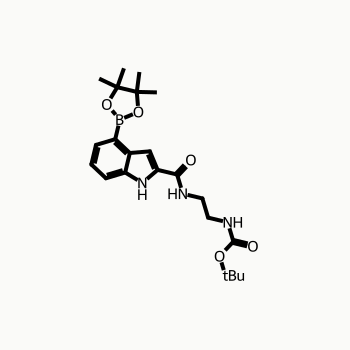 CC(C)(C)OC(=O)NCCNC(=O)c1cc2c(B3OC(C)(C)C(C)(C)O3)cccc2[nH]1